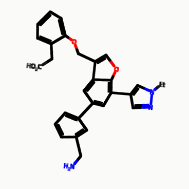 CCn1cc(-c2cc(-c3cccc(CN)c3)cc3c(COc4ccccc4CC(=O)O)coc23)cn1